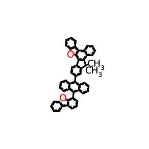 CC1(C)c2cc(-c3c4ccccc4c(-c4cccc5c4oc4ccccc45)c4ccccc34)ccc2-c2c1c1ccccc1c1c2oc2ccccc21